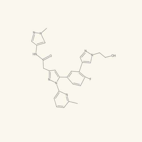 Cc1cccc(-n2nc(CC(=O)Nc3cnn(C)c3)cc2-c2ccc(F)c(-c3cnn(CCO)c3)c2)n1